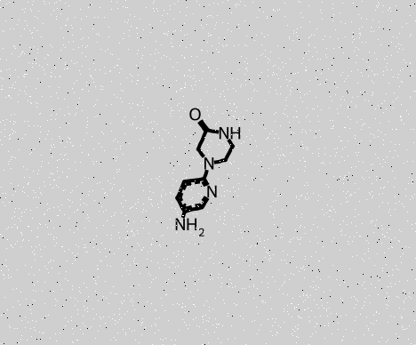 Nc1ccc(N2CCNC(=O)C2)nc1